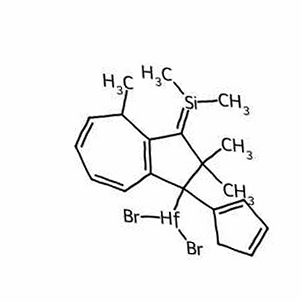 CC1C=CC=CC2=C1C(=[Si](C)C)C(C)(C)[C]2(C1=CC=CC1)[Hf]([Br])[Br]